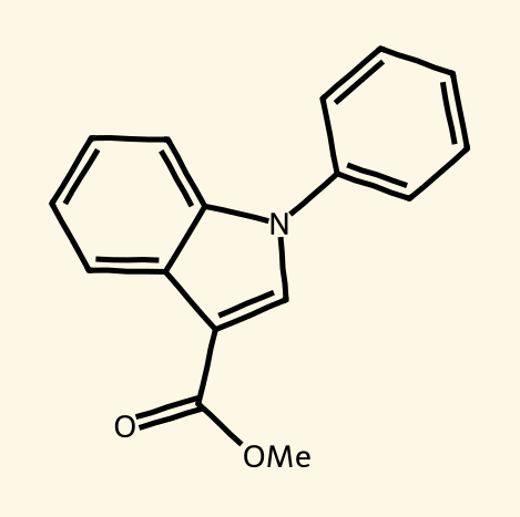 COC(=O)c1cn(-c2ccccc2)c2ccccc12